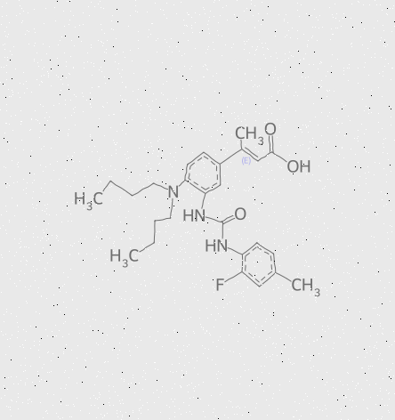 CCCCN(CCCC)c1ccc(/C(C)=C/C(=O)O)cc1NC(=O)Nc1ccc(C)cc1F